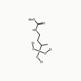 CCO[Si](OCC)(OCC)C(C)CCNC(=O)OC